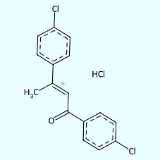 C/C(=C\C(=O)c1ccc(Cl)cc1)c1ccc(Cl)cc1.Cl